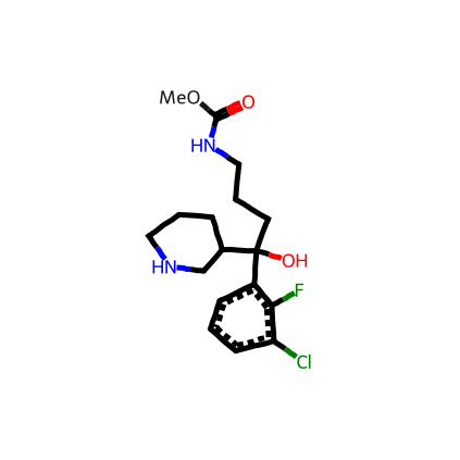 COC(=O)NCCCC(O)(c1cccc(Cl)c1F)C1CCCNC1